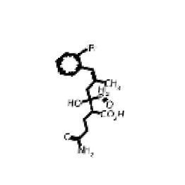 CC(=Cc1ccccc1C(C)C)CC(O)([PH2]=O)C(CCC(N)=O)C(=O)O